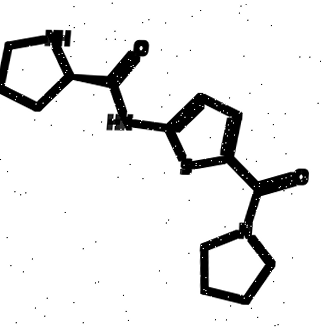 O=C(Nc1ccc(C(=O)N2CCCC2)s1)[C@H]1CCCN1